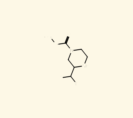 CC(C)(C)OC(=O)N1CCNC(C(F)F)C1